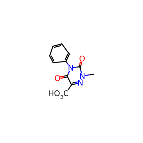 Cn1nc(C(=O)O)c(=O)n(-c2ccccc2)c1=O